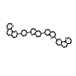 c1cnc2c(c1)ccc1ccc(-c3ccc(-c4ccc5cc(-c6ccc7ccc(-c8ccc9ccc%10cccnc%10c9n8)nc7c6)ccc5n4)cc3)nc12